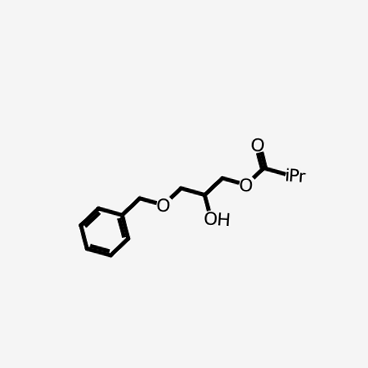 CC(C)C(=O)OCC(O)COCc1ccccc1